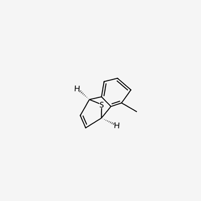 Cc1cccc2c1[C@H]1C=C[C@@H]2S1